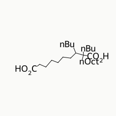 CCCCCCCCC(CCCC)(C(=O)O)C(CCCC)CCCCCCC(=O)O